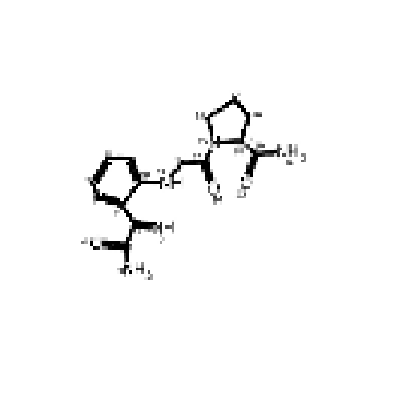 N=C(C(N)=O)c1ccccc1NCC(=O)N1CCC[C@H]1C(N)=O